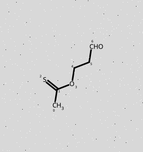 CC(=S)OCCC=O